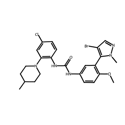 COc1ccc(NC(=O)Nc2ccc(Cl)cc2N2CCC(C)CC2)cc1-c1c(Br)cnn1C